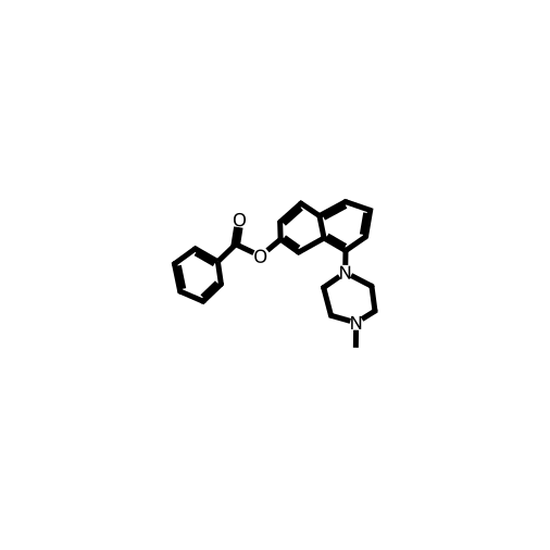 CN1CCN(c2cccc3ccc(OC(=O)c4ccccc4)cc23)CC1